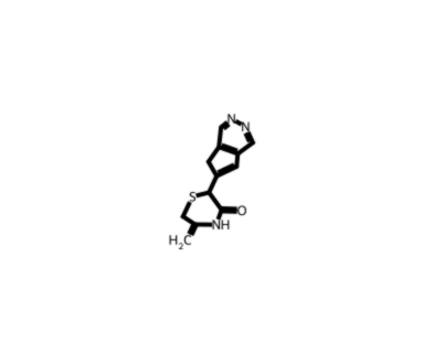 C=C1CSC(C2=Cc3cnncc3C2)C(=O)N1